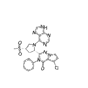 CS(=O)(=O)[C@H]1C[C@@H](c2nn3ccc(Cl)c3c(=O)n2-c2ccccc2)N(c2ncnc3[nH]cnc23)C1